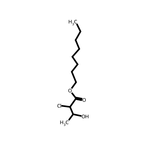 CCCCCCCCOC(=O)C(Cl)C(C)O